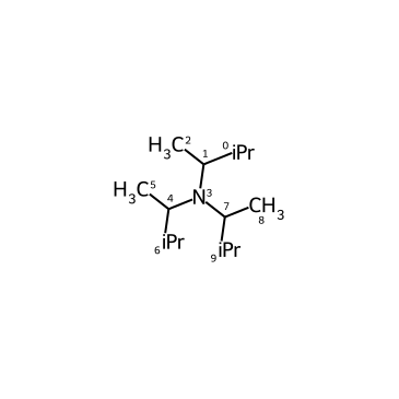 CC(C)C(C)N(C(C)C(C)C)C(C)C(C)C